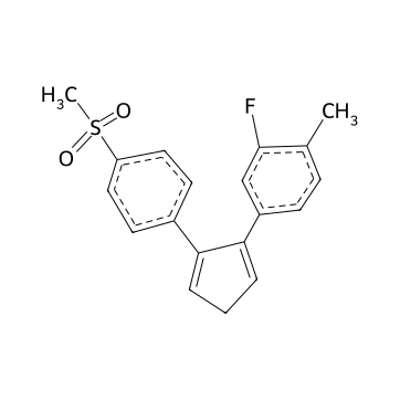 Cc1ccc(C2=CCC=C2c2ccc(S(C)(=O)=O)cc2)cc1F